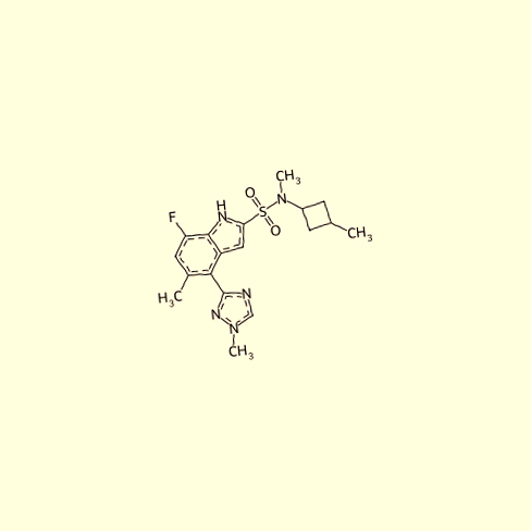 Cc1cc(F)c2[nH]c(S(=O)(=O)N(C)C3CC(C)C3)cc2c1-c1ncn(C)n1